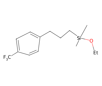 CCO[Si](C)(C)CCCc1ccc(C(F)(F)F)cc1